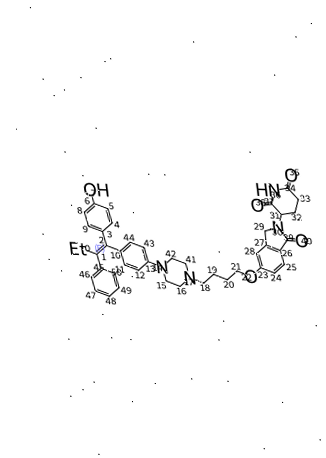 CC/C(=C(\c1ccc(O)cc1)c1ccc(N2CCN(CCCCOc3ccc4c(c3)CN(C3CCC(=O)NC3=O)C4=O)CC2)cc1)c1ccccc1